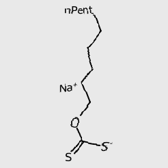 CCCCCCCCCCOC(=S)[S-].[Na+]